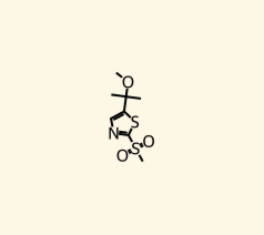 COC(C)(C)c1cnc(S(C)(=O)=O)s1